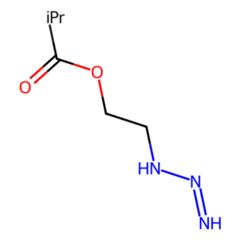 CC(C)C(=O)OCCNN=N